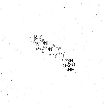 NS(=O)(=O)NCCC1CCN(C2C=Cn3cncc3N2)CC1